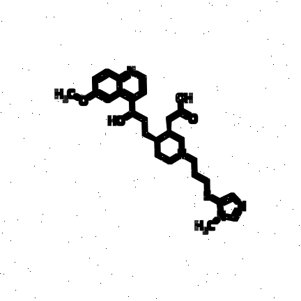 COc1ccc2nccc(C(O)CC[C@@H]3CCN(CCCSc4cncn4C)C[C@@H]3CC(=O)O)c2c1